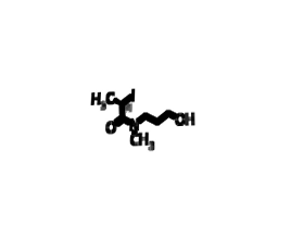 C[C@@H](I)C(=O)N(C)CCCO